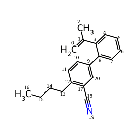 C=C(C)c1ccccc1-c1ccc(CCCC)c(C#N)c1